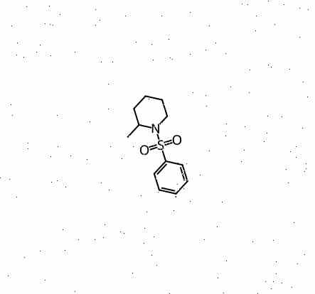 CC1CCCCN1S(=O)(=O)c1cc[c]cc1